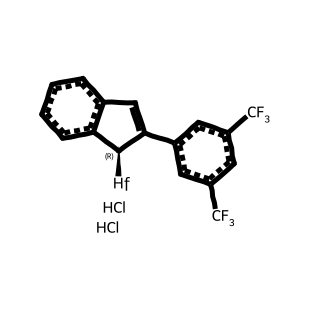 Cl.Cl.FC(F)(F)c1cc(C2=Cc3ccccc3[C@@H]2[Hf])cc(C(F)(F)F)c1